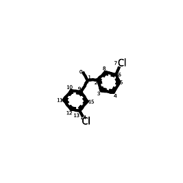 C[C](c1cccc(Cl)c1)c1cccc(Cl)c1